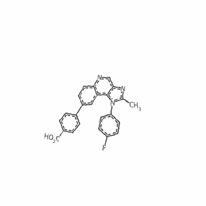 Cc1nc2cnc3ccc(-c4ccc(C(=O)O)cc4)cc3c2n1-c1ccc(F)cc1